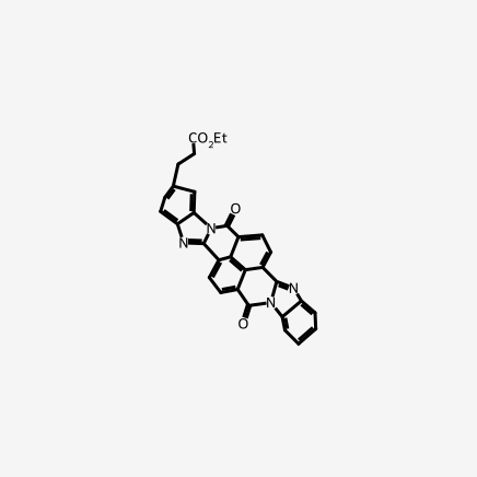 CCOC(=O)CCc1ccc2nc3c4ccc5c(=O)n6c7ccccc7nc6c6ccc(c(=O)n3c2c1)c4c56